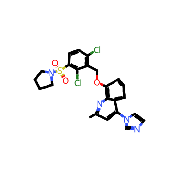 Cc1cc(-n2ccnc2)c2cccc(OCc3c(Cl)ccc(S(=O)(=O)N4CCCC4)c3Cl)c2n1